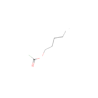 CC(=O)OCCCCOC(=O)Cl